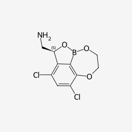 NC[C@H]1OB2OCCOc3c(Cl)cc(Cl)c1c32